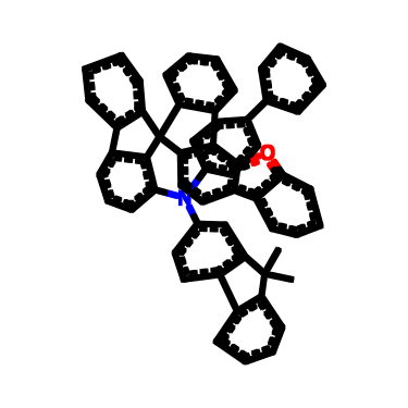 CC1(C)c2ccccc2-c2ccc(N(c3ccc(-c4ccccc4)cc3)c3cccc4c3C3(c5ccccc5-4)c4ccccc4-c4c3ccc3c4oc4ccccc43)cc21